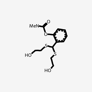 CNC(=O)Oc1ccccc1C(SCCO)SCCO